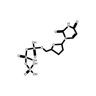 O=c1ccn(C2CCC(COP(=O)(O)OP(=O)(O)OP(=O)(O)O)O2)c(=O)[nH]1